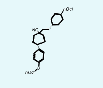 CCCCCCCCOc1ccc([C@H]2CC[C@@](C#N)(CC[C@H]3CC[C@H](CCCCCCCC)CC3)CC2)cc1